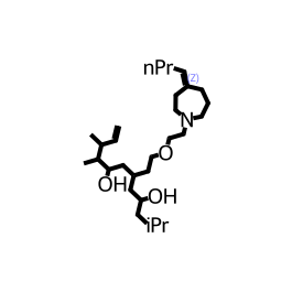 C=CC(C)C(C)C(O)CC(CCOCCN1CCC/C(=C/CCC)CC1)CC(O)CC(C)C